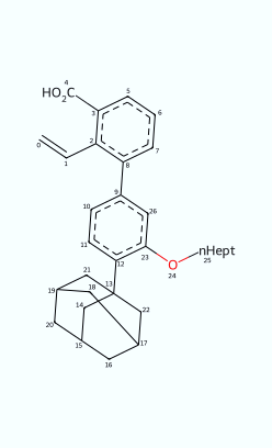 C=Cc1c(C(=O)O)cccc1-c1ccc(C23CC4CC(CC(C4)C2)C3)c(OCCCCCCC)c1